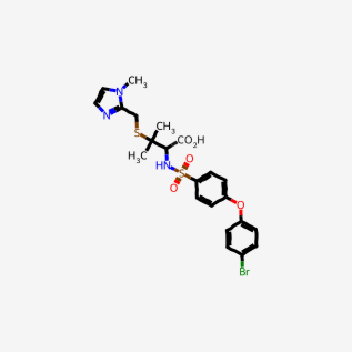 Cn1ccnc1CSC(C)(C)C(NS(=O)(=O)c1ccc(Oc2ccc(Br)cc2)cc1)C(=O)O